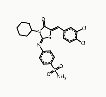 NS(=O)(=O)c1ccc(/N=C2\S/C(=C\c3ccc(Cl)c(Cl)c3)C(=O)N2C2CCCCC2)cc1